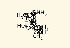 C=CSC1(C(=O)O)CN2C(=O)C(NC(=O)C(=NOC)c3csc(N)n3)[C@H]2SC1C.Cl